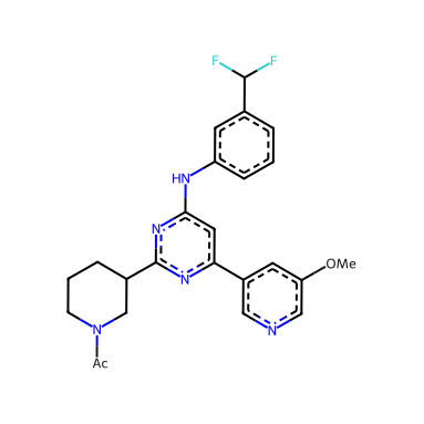 COc1cncc(-c2cc(Nc3cccc(C(F)F)c3)nc(C3CCCN(C(C)=O)C3)n2)c1